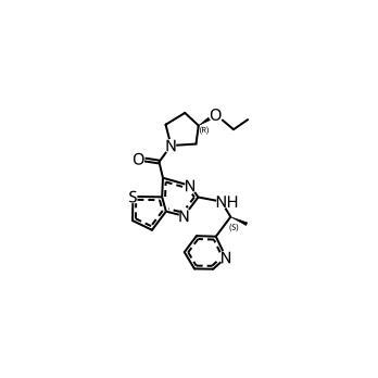 CCO[C@@H]1CCN(C(=O)c2nc(N[C@@H](C)c3ccccn3)nc3ccsc23)C1